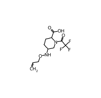 C=CCONC1CCC(C(=O)O)N(C(=O)C(F)(F)F)C1